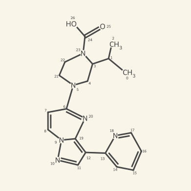 CC(C)C1CN(c2ccn3ncc(-c4ccccn4)c3n2)CCN1C(=O)O